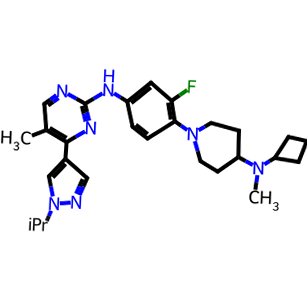 Cc1cnc(Nc2ccc(N3CCC(N(C)C4CCC4)CC3)c(F)c2)nc1-c1cnn(C(C)C)c1